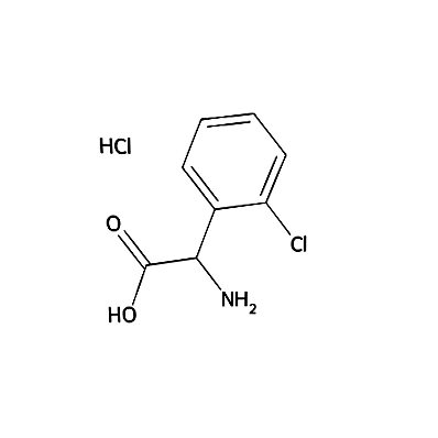 Cl.NC(C(=O)O)c1ccccc1Cl